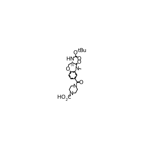 CN1C(=O)[C@@H](NC(=O)OC(C)(C)C)COc2ccc(C(=O)N3CCN(C(=O)O)CC3)cc21